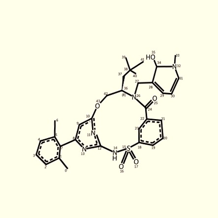 Cc1cccc(C)c1-c1cc2nc(n1)NS(=O)(=O)c1cccc(c1)C(=O)N(CC1=CC=CN(C)C1O)[C@H](CC(C)(C)C)CO2